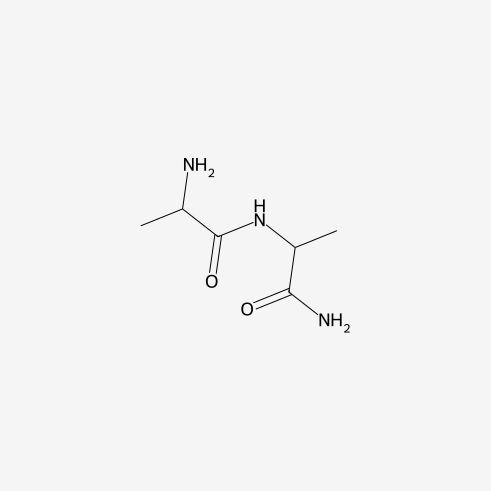 CC(N)C(=O)NC(C)C(N)=O